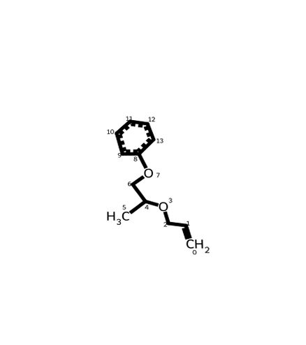 C=CCOC(C)COc1ccccc1